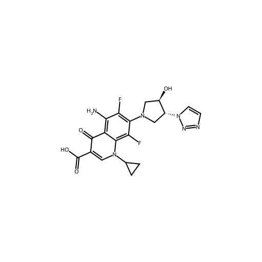 Nc1c(F)c(N2C[C@@H](O)[C@H](n3ccnn3)C2)c(F)c2c1c(=O)c(C(=O)O)cn2C1CC1